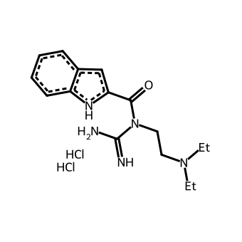 CCN(CC)CCN(C(=N)N)C(=O)c1cc2ccccc2[nH]1.Cl.Cl